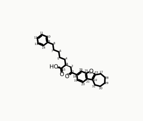 O=C(C[C@H](CCCCCc1ccccc1)C(=O)O)c1ccc2c3c(oc2c1)CCCCC3